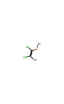 CC(C)S/C(Cl)=C(/Cl)C#N